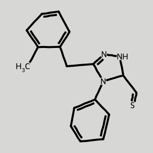 Cc1ccccc1CC1=NNC(C=S)N1c1ccccc1